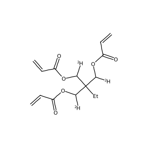 [2H]C(OC(=O)C=C)C(CC)(C([2H])OC(=O)C=C)C([2H])OC(=O)C=C